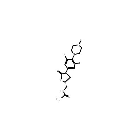 CC(=O)NC[C@H]1CN(c2cc(F)c(N3CC[S+]([O-])CC3)c(F)c2)C(=O)O1